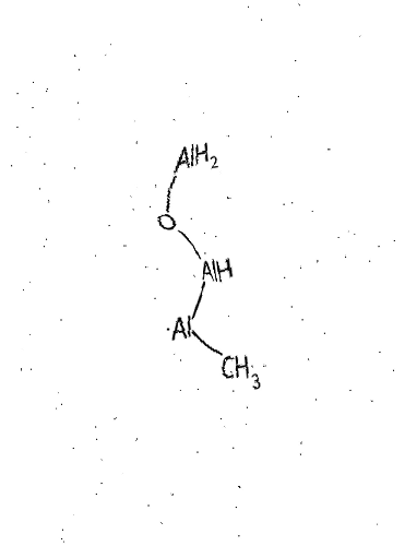 [CH3][Al][AlH][O][AlH2]